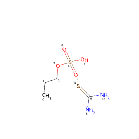 CCCOS(=O)(=O)O.NC(N)=S